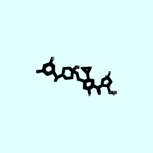 CC(c1cc(Cl)cc(Cl)c1)N1CCC(C#N)(COc2cc(F)c(C(=O)N3C[C@H](F)C[C@H]3C(=O)O)cc2C2CC2)CC1